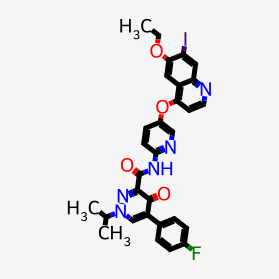 CCOc1cc2c(Oc3ccc(NC(=O)c4nn(C(C)C)cc(-c5ccc(F)cc5)c4=O)nc3)ccnc2cc1I